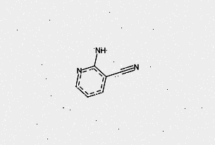 N#Cc1cccnc1[NH]